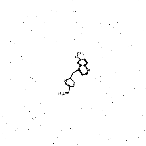 C=CC1=CNC(Cc2ccnc3ccc(OC)cc23)CC1